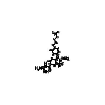 CN(C)CCSCc1ccc(Oc2ccc(C(=O)NC(=N)N)cc2C(F)(F)F)cc1.Cl.Cl